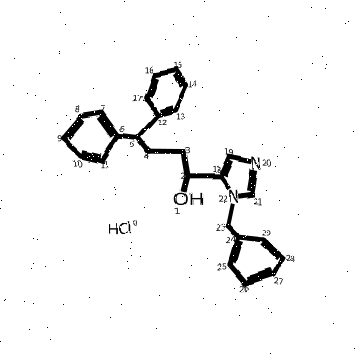 Cl.OC(CCC(c1ccccc1)c1ccccc1)c1cncn1Cc1ccccc1